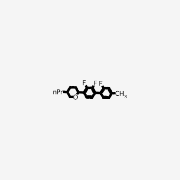 CCCC1CCC(c2ccc(-c3ccc(C)cc3F)c(F)c2F)OC1